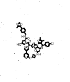 Cc1ncoc1-c1ccc(CNC(=O)[C@@H]2C[C@@H](O)CN2C(=O)[C@H](C(C)C)n2cc(-c3ccnc(O[C@H]4C[C@@H](NC(=O)C[C@@H]5N=C(c6ccc(Cl)cc6)c6c(sc(C)c6C)-n6c(C)nnc65)C4)c3)cn2)cc1